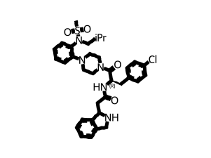 CC(C)CN(c1ccccc1N1CCN(C(=O)[C@@H](Cc2ccc(Cl)cc2)NC(=O)CC2NCc3ccccc32)CC1)S(C)(=O)=O